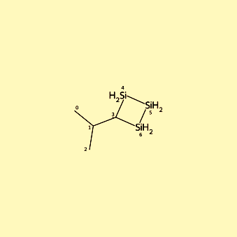 CC(C)[C]1[SiH2][SiH2][SiH2]1